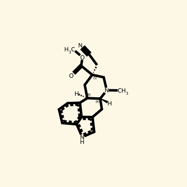 COC(=O)[C@]1(CC#N)C[C@@H]2c3cccc4[nH]cc(c34)C[C@H]2N(C)C1